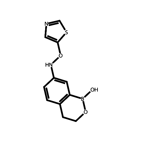 OB1OCCc2ccc(NOc3cncs3)cc21